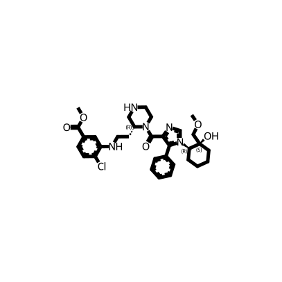 COC[C@]1(O)CCCC[C@H]1n1cnc(C(=O)N2CCNC[C@H]2CCNc2cc(C(=O)OC)ccc2Cl)c1-c1ccccc1